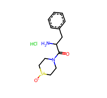 Cl.NC(Cc1ccccc1)C(=O)N1CC[S+]([O-])CC1